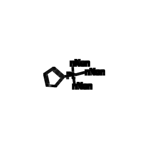 CCCCCCCC[CH2][Pt]([CH2]CCCCCCCC)([CH2]CCCCCCCC)[C]1=CC=CC1